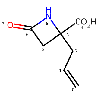 C=CCC1(C(=O)O)CC(=O)N1